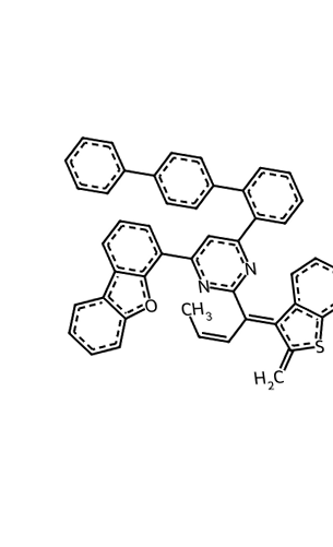 C=c1sc2ccccc2/c1=C(/C=C\C)c1nc(-c2ccccc2-c2ccc(-c3ccccc3)cc2)cc(-c2cccc3c2oc2ccccc23)n1